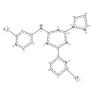 FC(F)(F)c1cc(Nc2nc(-c3cccc(C(F)(F)F)n3)nc(-n3cccn3)n2)ccn1